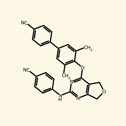 Cc1cc(-c2ccc(C#N)cc2)cc(C)c1Oc1nc(Nc2ccc(C#N)cc2)nc2c1COC2